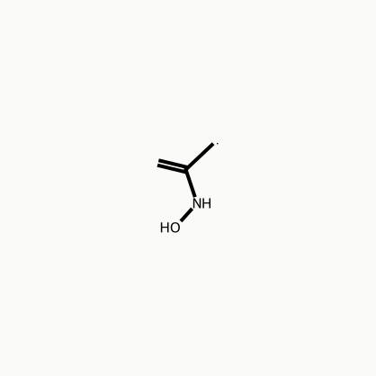 [CH2]C(=C)NO